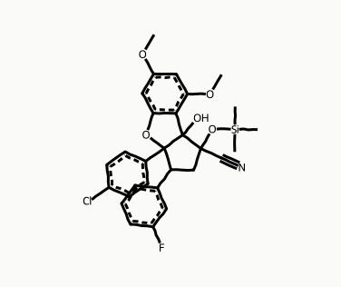 COc1cc(OC)c2c(c1)OC1(c3ccc(Cl)cc3)C(c3cccc(F)c3)CC(C#N)(O[Si](C)(C)C)C21O